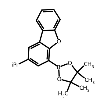 CC(C)c1cc(B2OC(C)(C)C(C)(C)O2)c2oc3ccccc3c2c1